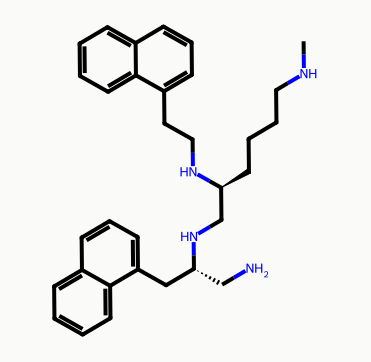 CNCCCC[C@@H](CN[C@H](CN)Cc1cccc2ccccc12)NCCc1cccc2ccccc12